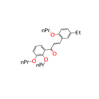 CCCOc1ccc(CC)cc1/C=C/C(=O)c1cccc(OCCC)c1OCCC